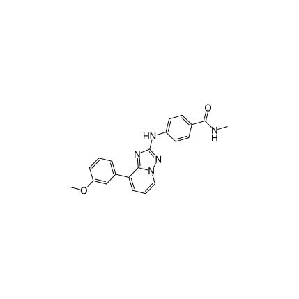 CNC(=O)c1ccc(Nc2nc3c(-c4cccc(OC)c4)cccn3n2)cc1